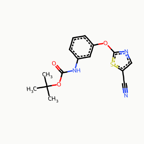 CC(C)(C)OC(=O)Nc1cccc(Oc2ncc(C#N)s2)c1